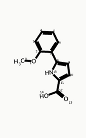 COc1ccccc1-c1ccc(C(=O)O)[nH]1